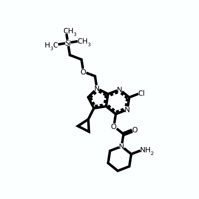 C[Si](C)(C)CCOCn1cc(C2CC2)c2c(OC(=O)N3CCCCC3N)nc(Cl)nc21